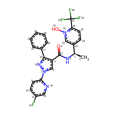 C[C@@H](NC(=O)c1cn(-c2ccc(F)cn2)nc1-c1ccccc1)c1ccc(C(F)(F)F)[n+](O)c1